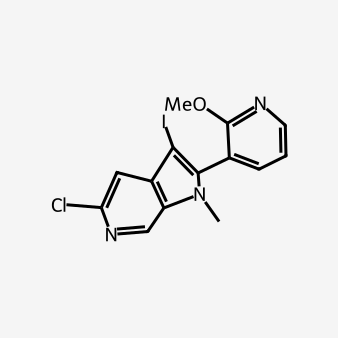 COc1ncccc1-c1c(I)c2cc(Cl)ncc2n1C